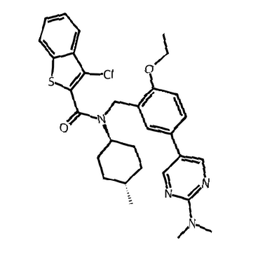 CCOc1ccc(-c2cnc(N(C)C)nc2)cc1CN(C(=O)c1sc2ccccc2c1Cl)[C@H]1CC[C@H](C)CC1